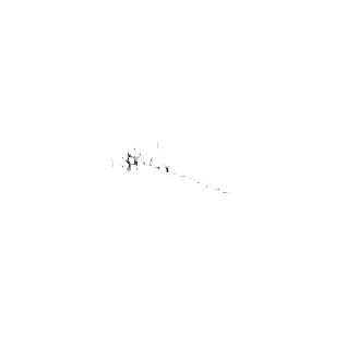 CCCCCCCCCCCCCCCC(=O)OCCC(CO)CN1CNc2c1nc(N)[nH]c2=O